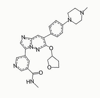 CNC(=O)c1cncc(-c2cnc3cc(-c4ccc(N5CCN(C)CC5)cc4)c(OC4CCOC4)nn23)c1